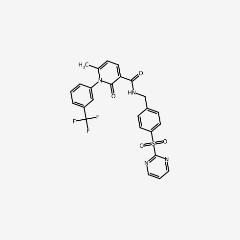 Cc1ccc(C(=O)NCc2ccc(S(=O)(=O)c3ncccn3)cc2)c(=O)n1-c1cccc(C(F)(F)F)c1